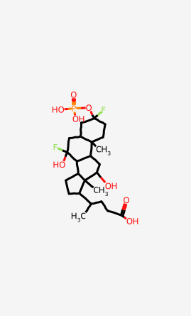 CC(CCC(=O)O)C1CCC2C3C(CC(O)C12C)C1(C)CCC(F)(OP(=O)(O)O)CC1CC3(O)F